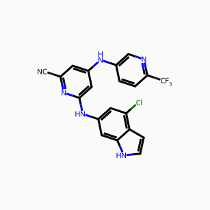 N#Cc1cc(Nc2ccc(C(F)(F)F)nc2)cc(Nc2cc(Cl)c3cc[nH]c3c2)n1